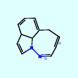 C1=CC2C=CN3/N=C\C=C/CC(=C1)C23